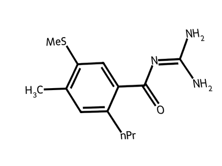 CCCc1cc(C)c(SC)cc1C(=O)N=C(N)N